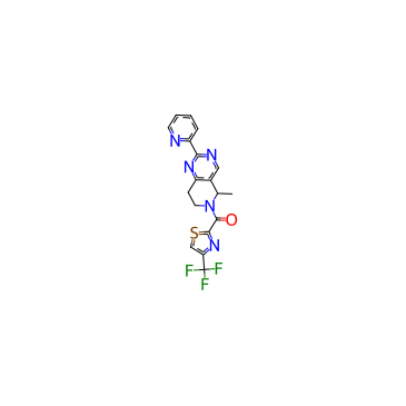 CC1c2cnc(-c3ccccn3)nc2CCN1C(=O)c1nc(C(F)(F)F)cs1